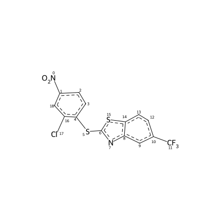 O=[N+]([O-])c1ccc(Sc2nc3cc(C(F)(F)F)ccc3s2)c(Cl)c1